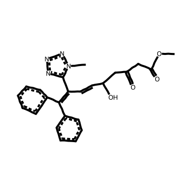 COC(=O)CC(=O)CC(O)/C=C/C(=C(c1ccccc1)c1ccccc1)c1nnnn1C